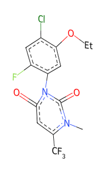 [CH2]COc1cc(-n2c(=O)cc(C(F)(F)F)n(C)c2=O)c(F)cc1Cl